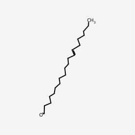 CCCCCCC=CCCCCCCCCCCCC=O